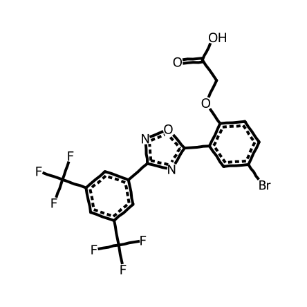 O=C(O)COc1ccc(Br)cc1-c1nc(-c2cc(C(F)(F)F)cc(C(F)(F)F)c2)no1